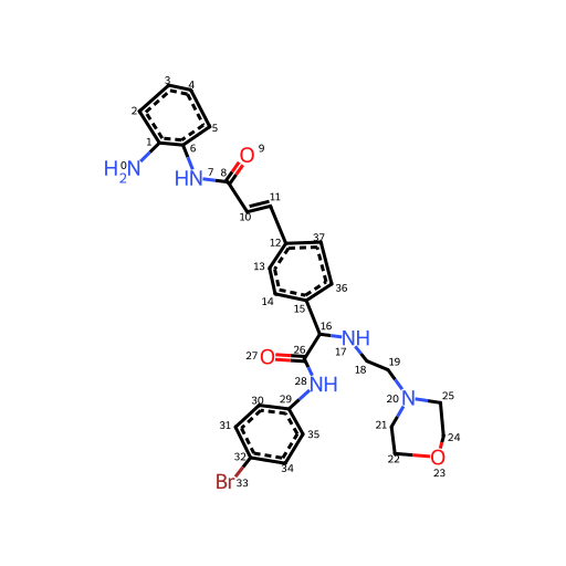 Nc1ccccc1NC(=O)C=Cc1ccc(C(NCCN2CCOCC2)C(=O)Nc2ccc(Br)cc2)cc1